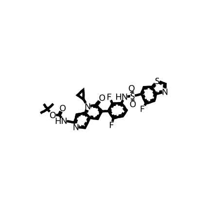 CC(C)(C)OC(=O)Nc1cc2c(cn1)cc(-c1c(F)ccc(NS(=O)(=O)c3cc4scnc4cc3F)c1F)c(=O)n2C1CC1